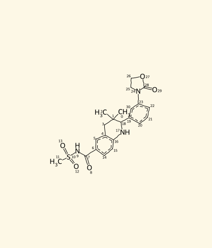 CC1(C)Cc2cc(C(=O)NS(C)(=O)=O)ccc2NC1c1cccc(N2CCOC2=O)c1